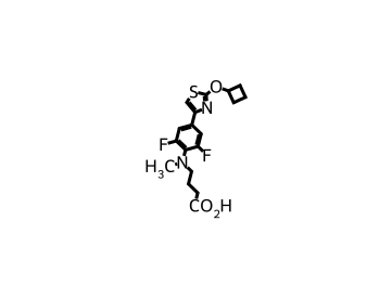 CN(CCCC(=O)O)c1c(F)cc(-c2csc(OC3CCC3)n2)cc1F